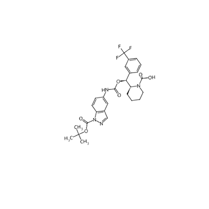 CC(C)(C)OC(=O)n1ncc2cc(NC(=O)O[C@@H](c3cccc(C(F)(F)F)c3)[C@@H]3CCCCN3C(=O)O)ccc21